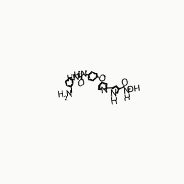 NCc1cccc(NC(=O)Nc2ccc(Oc3ccnc(-c4cc(C(=O)NO)c[nH]4)c3)cc2)c1